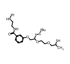 CC(S)COCCOC(COc1cccc(C(=O)NCCNC(C)C)c1)SSC(C)(C)C